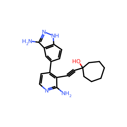 Nc1nccc(-c2ccc3[nH]nc(N)c3c2)c1C#CC1(O)CCCCCC1